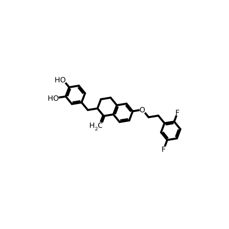 C=C1c2ccc(OCCc3cc(F)ccc3F)cc2CCC1Cc1ccc(O)c(O)c1